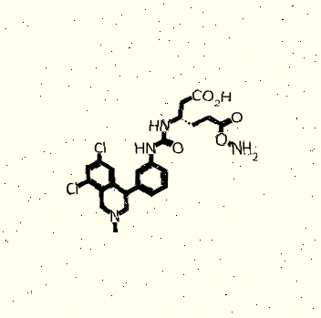 CN1Cc2c(Cl)cc(Cl)cc2C(c2cccc(NC(=O)N[C@@H](CCC(=O)ON)CC(=O)O)c2)C1